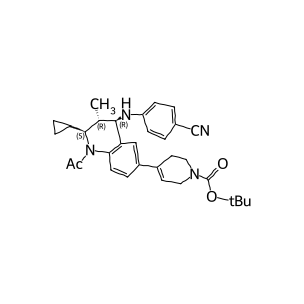 CC(=O)N1c2ccc(C3=CCN(C(=O)OC(C)(C)C)CC3)cc2[C@H](Nc2ccc(C#N)cc2)[C@@H](C)[C@@H]1C1CC1